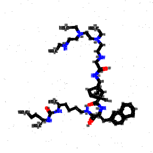 O=C(O)CC[C@H](NC(=O)NC(CCCCNC(=O)[C@H](Cc1ccc2ccccc2c1)NC(=O)[C@H]1CC2(CNC(=O)CNCCN(CCN(CCNCC(=O)O)CC(=O)O)CC(=O)O)CC1C2)C(=O)O)C(=O)O